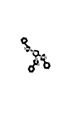 c1ccc(-c2cn(C3CCN(n4cnc(-c5ccccc5)c4)CC3n3cnc(-c4ccccc4)c3)cn2)cc1